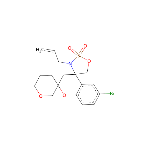 C=CCN1C2(COS1(=O)=O)CC1(CCCOC1)Oc1ccc(Br)cc12